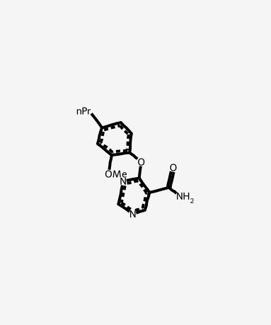 CCCc1ccc(Oc2ncncc2C(N)=O)c(OC)c1